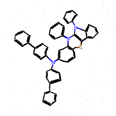 c1ccc(-c2ccc(N(c3ccc(-c4ccccc4)cc3)c3ccc4c(c3)N(c3ccccc3)c3c(c5ccccc5n3-c3ccccc3)S4)cc2)cc1